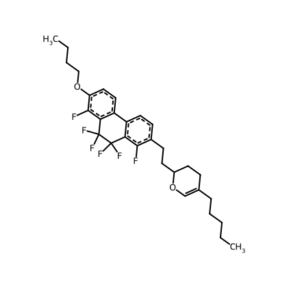 CCCCCC1=COC(CCc2ccc3c(c2F)C(F)(F)C(F)(F)c2c-3ccc(OCCCC)c2F)CC1